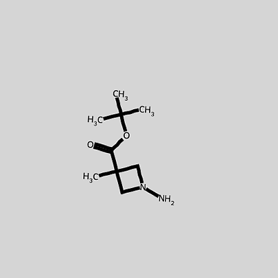 CC(C)(C)OC(=O)C1(C)CN(N)C1